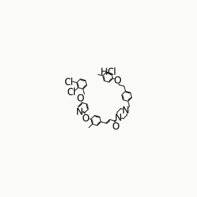 Cc1ccc(OCCc2ccc(CN3CCN(C(=O)/C=C/c4ccc(Oc5ccc(OCc6cccc(Cl)c6Cl)cn5)c(C)c4)CC3)cc2)cc1.Cl